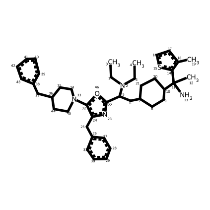 CCN(CC)C(CC1CCC(C(C)(N)c2sccc2C)CC1)c1nc(Cc2ccccc2)c(N2CCC(Cc3ccccc3)CC2)o1